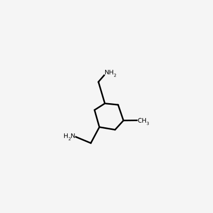 CC1CC(CN)CC(CN)C1